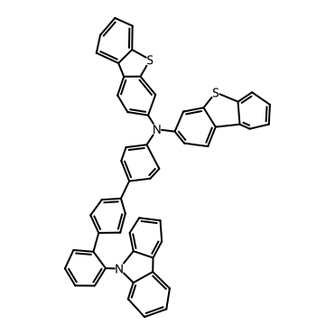 c1ccc(-n2c3ccccc3c3ccccc32)c(-c2ccc(-c3ccc(N(c4ccc5c(c4)sc4ccccc45)c4ccc5c(c4)sc4ccccc45)cc3)cc2)c1